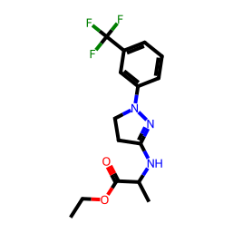 CCOC(=O)C(C)NC1=NN(c2cccc(C(F)(F)F)c2)CC1